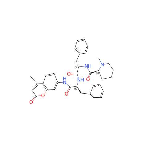 Cc1cc(=O)oc2cc(NC(=O)[C@H](Cc3ccccc3)NC(=O)[C@H](Cc3ccccc3)NC(=O)[C@@H]3CCCCN3C)ccc12